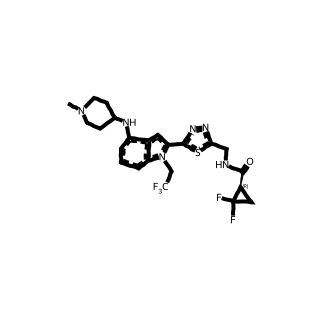 CN1CCC(Nc2cccc3c2cc(-c2nnc(CNC(=O)[C@H]4CC4(F)F)s2)n3CC(F)(F)F)CC1